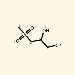 CS(=O)(=O)CC(O)CCl